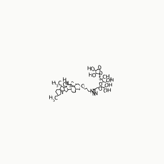 C[C@H]1CCC2[C@@H](C)C3C(CC4C5CC=C6C[C@@H](OCCCn7cc(COC(OC(CO)[C@H](C)SC8OC9OC9C(O)C8O)C(O)O)nn7)CC[C@]6(C)C5CC[C@@]43C)N2C1